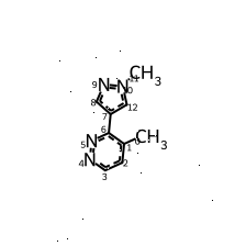 Cc1ccnnc1-c1cnn(C)c1